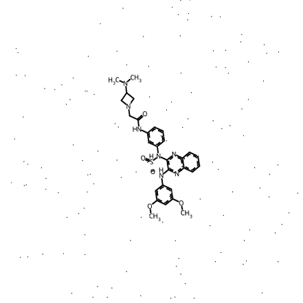 COc1cc(Nc2nc3ccccc3nc2N(c2cccc(NC(=O)CN3CC(N(C)C)C3)c2)[SH](=O)=O)cc(OC)c1